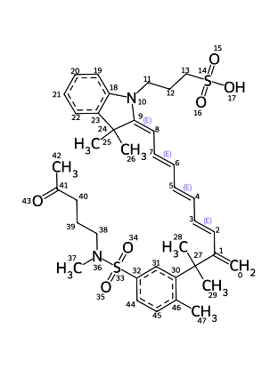 C=C(/C=C/C=C/C=C/C=C1/N(CCCS(=O)(=O)O)c2ccccc2C1(C)C)C(C)(C)c1cc(S(=O)(=O)N(C)CCCC(C)=O)ccc1C